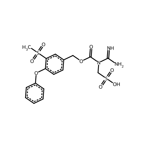 CS(=O)(=O)c1cc(COC(=O)N(CS(=O)(=O)O)C(=N)N)ccc1Oc1ccccc1